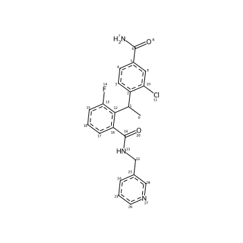 CC(c1ccc(C(N)=O)cc1Cl)c1c(F)cccc1C(=O)NCc1cccnc1